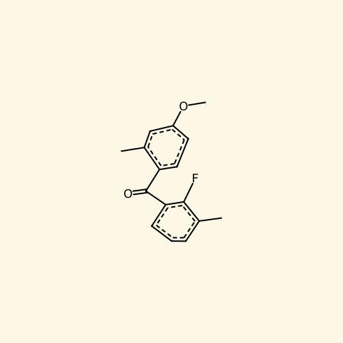 COc1ccc(C(=O)c2cccc(C)c2F)c(C)c1